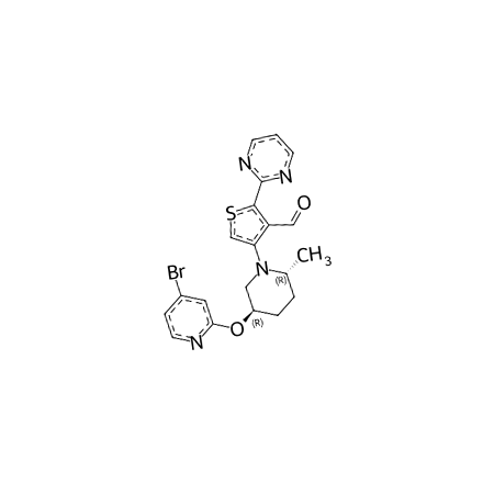 C[C@@H]1CC[C@@H](Oc2cc(Br)ccn2)CN1c1csc(-c2ncccn2)c1C=O